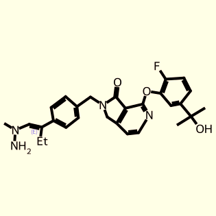 CC/C(=C\N(C)N)c1ccc(CN2Cc3ccnc(Oc4cc(C(C)(C)O)ccc4F)c3C2=O)cc1